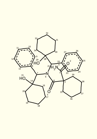 NC(=O)C1(C(=O)N(C(c2ccccc2)C2(O)CCCCC2)C(c2ccccc2)C2(O)CCCCC2)CCCCC1